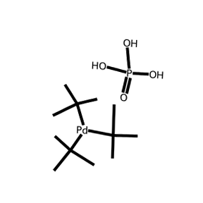 C[C](C)(C)[Pd]([C](C)(C)C)[C](C)(C)C.O=P(O)(O)O